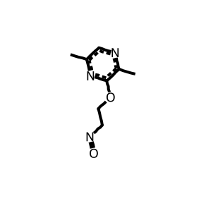 Cc1cnc(C)c(OCCN=O)n1